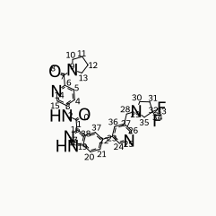 O=C(Nc1ccc(C(=O)N2CCCC2)nc1)c1n[nH]c2ccc(-c3cncc(CN4CCC(F)(F)C4)c3)cc12